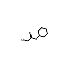 O=C(CCl)OC1CCCCC1